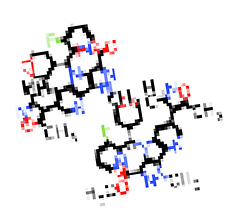 COC(=O)c1nn(C)c2c3ncc(-c4c(C)noc4C)cc3n([C@H](c3ncccc3F)C3CCOCC3)c12.Cc1noc(C)c1-c1cnc2c3c(c(C(=O)O)nn3C)n([C@H](c3ncccc3F)C3CCOCC3)c2c1C